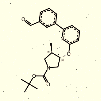 C[C@@H]1CN(C(=O)OC(C)(C)C)C[C@H]1Oc1cccc(-c2cccc(C=O)c2)n1